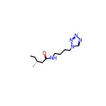 CC[C@@H](C)[CH]C(=O)NCCCCn1cnnn1